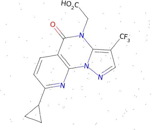 O=C(O)Cn1c(=O)c2ccc(C3CC3)nc2n2ncc(C(F)(F)F)c12